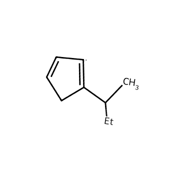 CCC(C)C1=[C]C=CC1